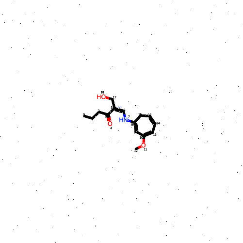 CCCC(=O)/C(=C\NC1=CC(OC)=CC=CC1)CO